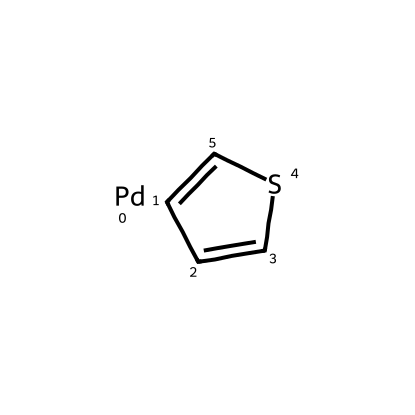 [Pd].c1ccsc1